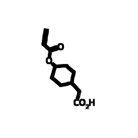 C=CC(=O)OC1CCC(CC(=O)O)CC1